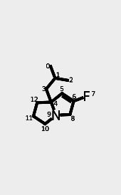 CC(C)CC12C=C(F)CN1CCC2